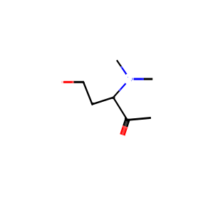 CC(=O)C(CCO)N(C)C